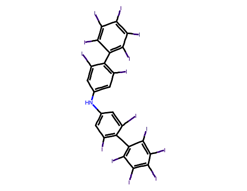 Ic1cc(Nc2cc(I)c(-c3c(I)c(I)c(I)c(I)c3I)c(I)c2)cc(I)c1-c1c(I)c(I)c(I)c(I)c1I